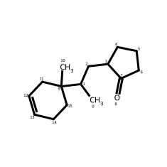 CC(CC1CCCC1=O)C1(C)CC=CCC1